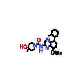 COc1ccc(-c2ccccc2C)c2ncc(NC(=O)N3CCC(C)(O)CC3)nc12